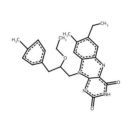 CCOC(Cc1ccc(C)cc1)Cn1c2nc(=O)[nH]c(=O)c-2nc2cc(CC)c(C)cc21